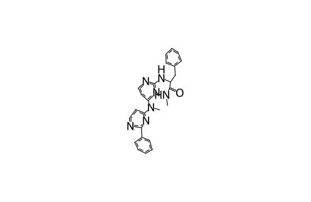 CNC(=O)C(Cc1ccccc1)Nc1nccc(N(C)c2ccnc(-c3ccccc3)n2)n1